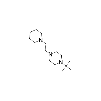 CC(C)(C)N1CCN(CCN2CCCCC2)CC1